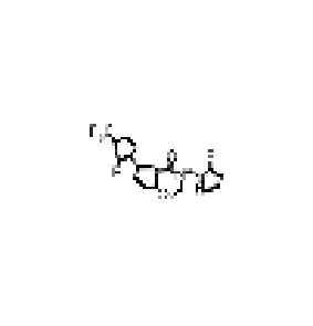 O=C1c2cc(-c3ccc(C(F)(F)F)cc3F)ccc2OCCN1Cc1ncccc1F